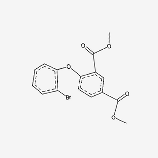 COC(=O)c1ccc(Oc2ccccc2Br)c(C(=O)OC)c1